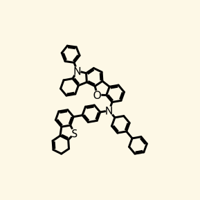 C1=CCC(C2=CCC(N(c3ccc(-c4cccc5c6c(sc45)CCC=C6)cc3)c3cccc4c3oc3c4ccc4c3c3c(n4-c4ccccc4)CCC=C3)C=C2)C=C1